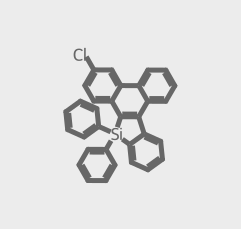 Clc1ccc2c3c(c4ccccc4c2c1)-c1ccccc1[Si]3(c1ccccc1)c1ccccc1